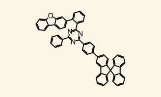 c1ccc(-c2nc(-c3ccc(-c4ccc5c(c4)-c4ccccc4C54c5ccccc5-c5ccccc54)cc3)nc(-c3ccccc3-c3ccc4c(c3)oc3ccccc34)n2)cc1